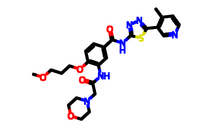 COCCCOc1ccc(C(=O)Nc2nnc(-c3cnccc3C)s2)cc1NC(=O)CN1CCOCC1